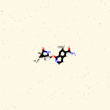 COc1cc2c(OC[C@H]3NC(=O)[C@@H]4[C@@H](C)[C@@H]43)nccc2cc1C(N)=O